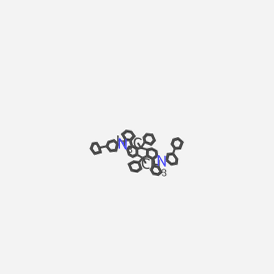 CC1(c2ccccc2)c2ccc3c(c2C(C)(c2ccccc2)c2ccc4c(c21)c1ccccc1n4-c1ccc(-c2ccccc2)cc1)c1ccccc1n3-c1cccc(-c2ccccc2)c1